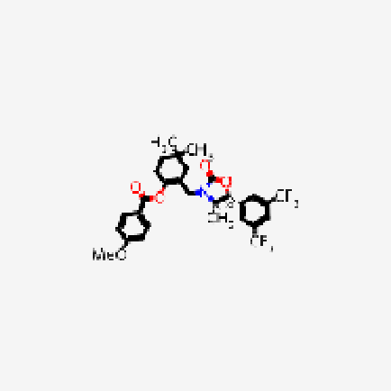 COc1ccc(C(=O)OC2=C(CN3C(=O)O[C@H](c4cc(C(F)(F)F)cc(C(F)(F)F)c4)[C@@H]3C)CC(C)(C)CC2)cc1